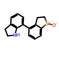 [O-][S+]1CCc2c(-c3cccc4c3NCC4)cccc21